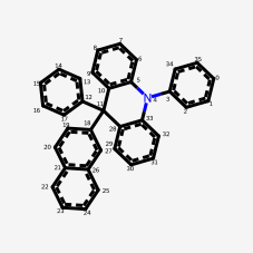 c1ccc(N2c3ccccc3C(c3ccccc3)(c3ccc4ccccc4c3)c3ccccc32)cc1